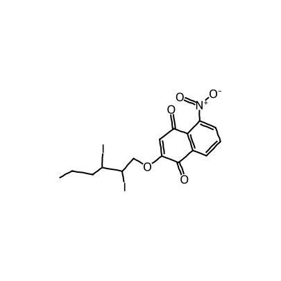 CCCC(I)C(I)COC1=CC(=O)c2c(cccc2[N+](=O)[O-])C1=O